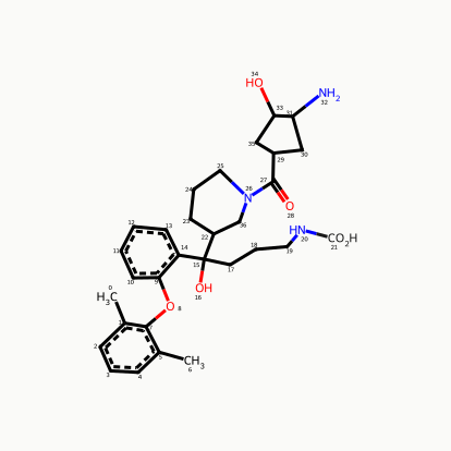 Cc1cccc(C)c1Oc1ccccc1C(O)(CCCNC(=O)O)C1CCCN(C(=O)C2CC(N)C(O)C2)C1